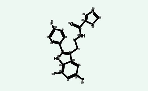 O=C(NCCc1c(-c2ccc(F)cc2)[nH]c2c(F)cc(F)cc12)c1cncs1